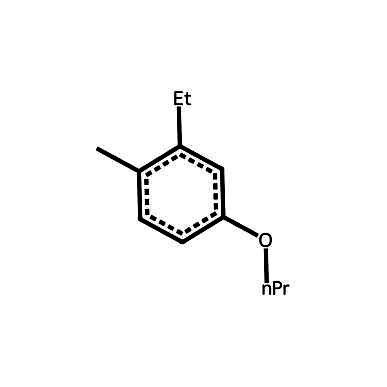 CCCOc1ccc(C)c(CC)c1